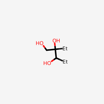 CC[C](O)C(O)(CC)CO